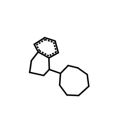 c1ccc2c(c1)CCCC2C1CCCCCCC1